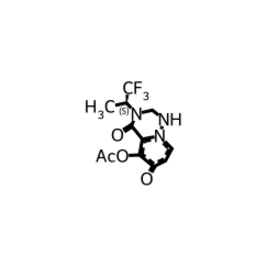 CC(=O)Oc1c2n(ccc1=O)NCN([C@@H](C)C(F)(F)F)C2=O